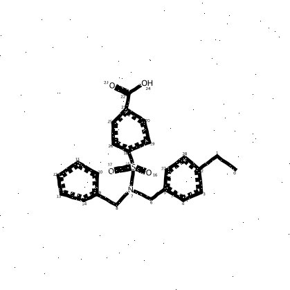 CCc1ccc(CN(Cc2ccccc2)S(=O)(=O)c2ccc(C(=O)O)cc2)cc1